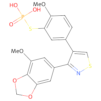 COc1ccc(-c2csnc2-c2cc(OC)c3c(c2)OCO3)cc1SP(=O)(O)O